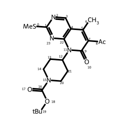 CSc1ncc2c(C)c(C(C)=O)c(=O)n(C3CCN(C(=O)OC(C)(C)C)CC3)c2n1